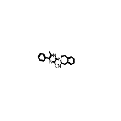 Cc1nc(N2CCc3ccccc3CC2)c(C#N)nc1-c1ccccc1